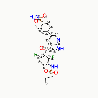 CCCS(=O)(=O)Nc1ccc(F)c(C(=O)c2c[nH]c3ncc(-c4ccc(S(N)(=O)=O)c(C)c4)cc23)c1F